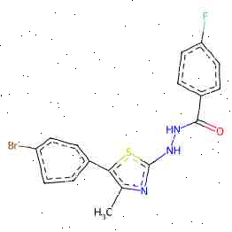 Cc1nc(NNC(=O)c2ccc(F)cc2)sc1-c1ccc(Br)cc1